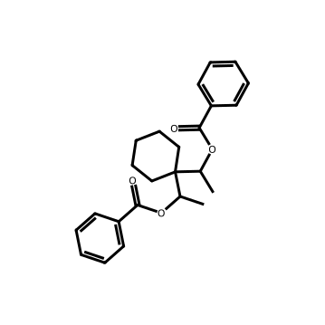 CC(OC(=O)c1ccccc1)C1(C(C)OC(=O)c2ccccc2)CCCCC1